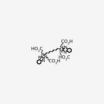 O=C(O)CCN1C(=CC=CC=CC=Cc2n(CCC(=O)O)c3nc4ccccc4nc3[n+]2CCC(=O)O)N(CCC(=O)O)c2nc3ccccc3nc21